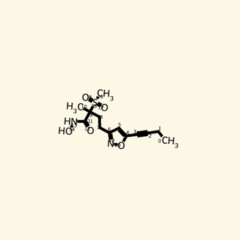 CCC#Cc1cc(CCC(C)(C(=O)NO)S(C)(=O)=O)no1